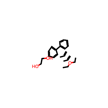 C=CC.C=CC.CCOCC.OCCO.c1ccc(-c2ccccc2)cc1